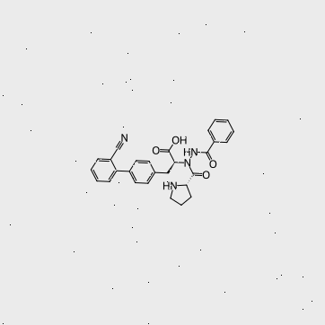 N#Cc1ccccc1-c1ccc(C[C@@H](C(=O)O)N(NC(=O)c2ccccc2)C(=O)[C@@H]2CCCN2)cc1